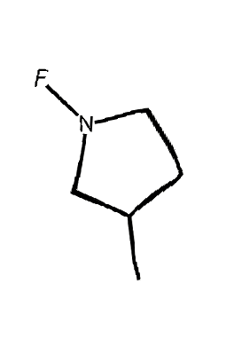 CC1CCN(F)C1